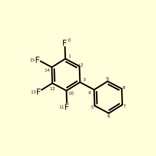 Fc1[c]c(-c2ccccc2)c(F)c(F)c1F